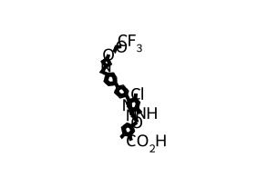 Cc1ccc(Oc2nc3nc(-c4ccc(-c5ccc(CN6CC(OCCOC(F)(F)F)C6)cc5)cc4)c(Cl)cc3[nH]2)cc1C(=O)O